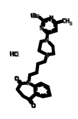 Cc1cc(N2CCN(CCCCN3C(=O)CCC(=O)c4ccccc43)CC2)nc(C(C)(C)C)n1.Cl